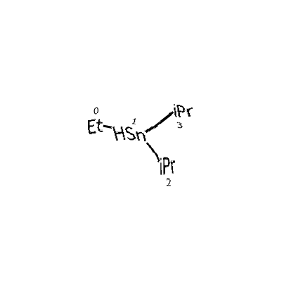 C[CH2][SnH]([CH](C)C)[CH](C)C